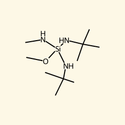 CN[Si](NC(C)(C)C)(NC(C)(C)C)OC